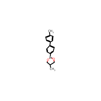 Cc1ccc(-c2ccc(B3OCC(C)CO3)cc2)cc1